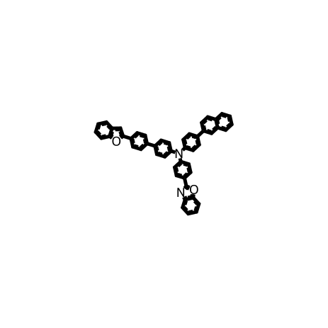 c1ccc2cc(-c3ccc(N(c4ccc(-c5ccc(-c6cc7ccccc7o6)cc5)cc4)c4ccc(-c5nc6ccccc6o5)cc4)cc3)ccc2c1